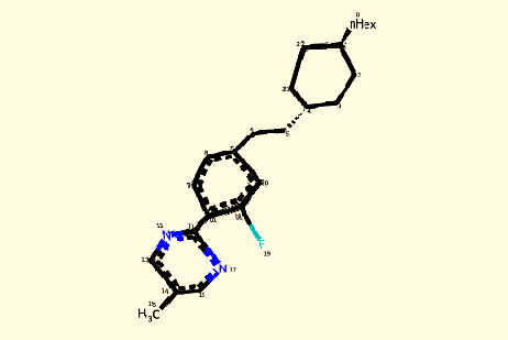 CCCCCC[C@H]1CC[C@H](CCc2ccc(-c3ncc(C)cn3)c(F)c2)CC1